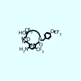 Nc1cc(C(F)(F)F)c2nc1-c1nnc(o1)[C@@](O)(C(F)(F)F)CCCCCN(Cc1ccc(OC(F)(F)F)cc1)C2=O